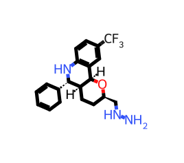 NNC[C@H]1CC[C@@H]2[C@H](O1)c1cc(C(F)(F)F)ccc1N[C@H]2C1C=CC=CC1